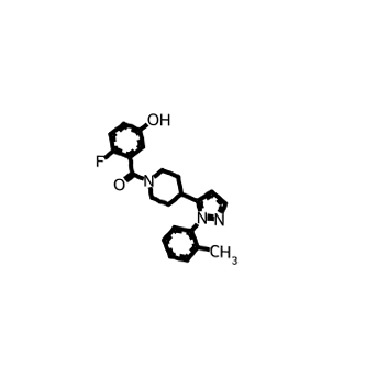 Cc1ccccc1-n1nccc1C1CCN(C(=O)c2cc(O)ccc2F)CC1